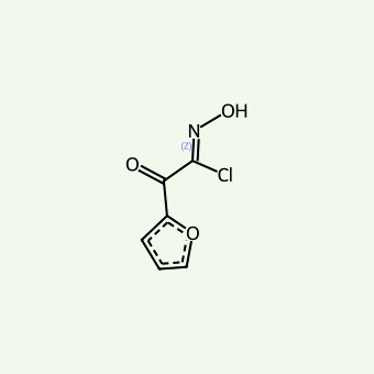 O=C(/C(Cl)=N/O)c1ccco1